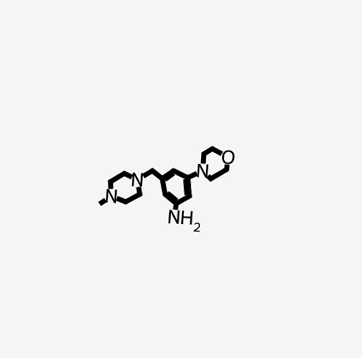 CN1CCN(Cc2cc(N)cc(N3CCOCC3)c2)CC1